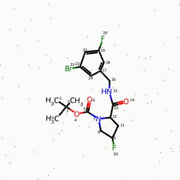 CC(C)(C)OC(=O)N1CC(F)CC1C(=O)NCc1cc(F)cc(Br)c1